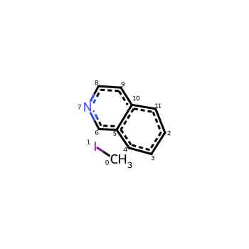 CI.c1ccc2cnccc2c1